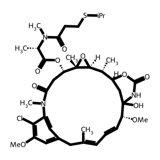 COc1cc2cc(c1Cl)N(C)C(=O)C[C@H](OC(=O)[C@H](C)N(C)C(=O)CCSC(C)C)[C@]1(C)O[C@H]1[C@H](C)[C@@H]1CC(O)(NC(=O)O1)[C@H](OC)/C=C/C=C(\C)C2